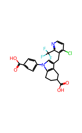 O=C(O)c1ccc(-n2cc(Cc3c(Cl)ccnc3C(F)(F)F)c3c2CCC(C(=O)O)C3)cc1